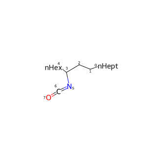 CCCCCCCCCC(CCCCCC)N=C=O